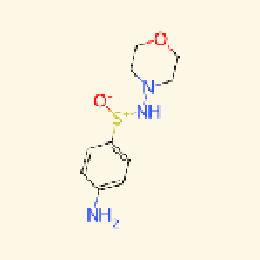 Nc1ccc([S+]([O-])NN2CCOCC2)cc1